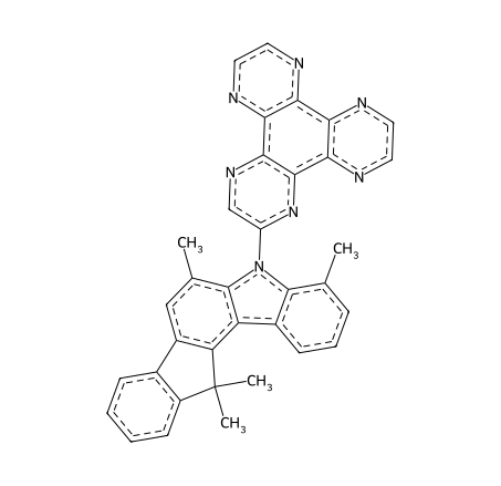 Cc1cccc2c3c4c(cc(C)c3n(-c3cnc5c6nccnc6c6nccnc6c5n3)c12)-c1ccccc1C4(C)C